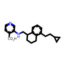 O=C(O)c1ccncc1NCC1CCCc2c(CCC3CC3)cccc21